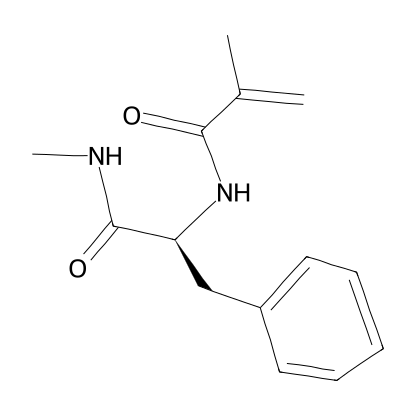 C=C(C)C(=O)N[C@@H](Cc1ccccc1)C(=O)NC